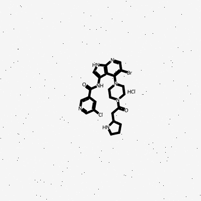 Cl.O=C(Nc1c[nH]c2ncc(Br)c(N3CCN(C(=O)CC4CCCN4)CC3)c12)c1cncc(Cl)c1